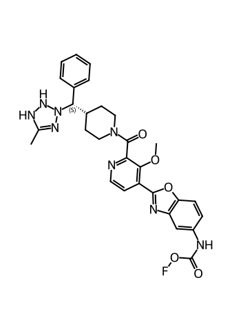 COc1c(-c2nc3cc(NC(=O)OF)ccc3o2)ccnc1C(=O)N1CCC([C@@H](c2ccccc2)N2N=C(C)NN2)CC1